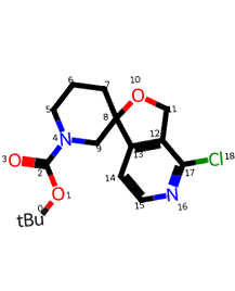 CC(C)(C)OC(=O)N1CCCC2(C1)OCc1c2ccnc1Cl